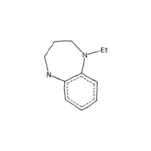 CCN1CCC[N]c2ccccc21